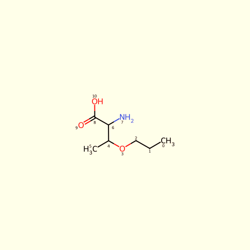 CCCOC(C)C(N)C(=O)O